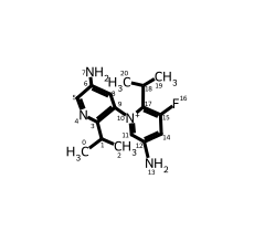 CC(C)c1ncc(N)cc1-[n+]1cc(N)cc(F)c1C(C)C